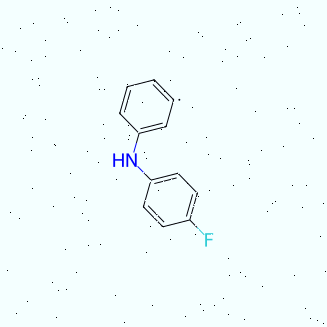 Fc1ccc(Nc2c[c]ccc2)cc1